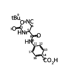 CC(C)(C)OC(=O)NC(CC#N)C(=O)Nc1ccc(C(=O)O)cc1